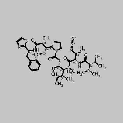 CC[C@H](C)[C@@H]([C@@H](CC(=O)N1CCC[C@H]1[C@H](OC)[C@@H](C)C(=O)N[C@@H](Cc1ccccc1)c1nccs1)OC)N(C)C(=O)[C@@H](NC(=O)[C@H](C(C)C)N(C)C)[C@H](C)N=[N+]=[N-]